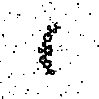 COc1c(OC2CCN(C(=O)OC(C)C)CC2)ncnc1N1CCc2cc([S+](C)[O-])ccc21